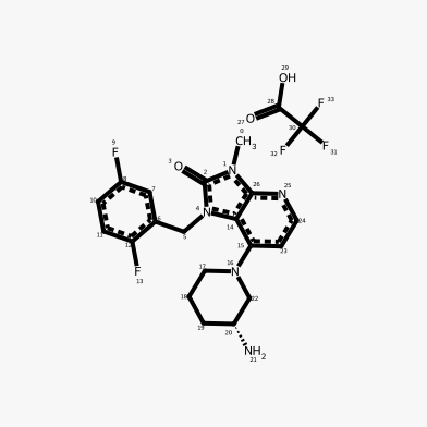 Cn1c(=O)n(Cc2cc(F)ccc2F)c2c(N3CCC[C@@H](N)C3)ccnc21.O=C(O)C(F)(F)F